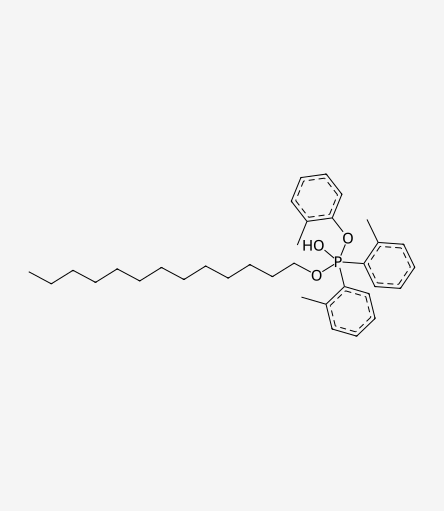 CCCCCCCCCCCCCOP(O)(Oc1ccccc1C)(c1ccccc1C)c1ccccc1C